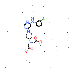 COC(=O)CN(CC(=O)OC)C1CCN(c2cc(Nc3cccc(Cl)c3)ncn2)CC1